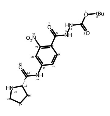 CC(C)(C)OC(=O)NNC(=O)c1ccc(NC(=O)[C@@H]2CCCN2)cc1[N+](=O)[O-]